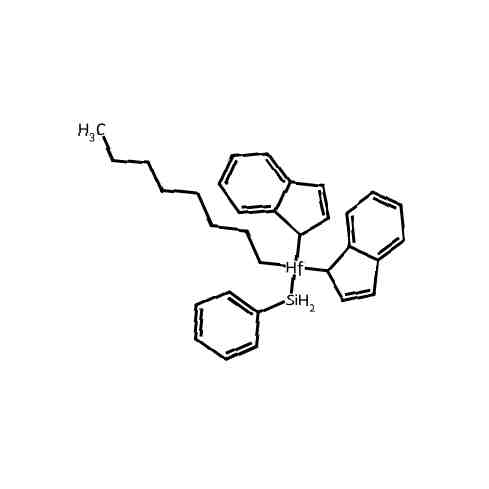 CCCCCCC[CH2][Hf]([SiH2]c1ccccc1)([CH]1C=Cc2ccccc21)[CH]1C=Cc2ccccc21